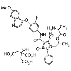 COc1ccc2c(Oc3ccc(NC(=O)c4c(C)n(C[C@@H](C)OC(=O)[C@H](C)N)n(-c5ccccc5)c4=O)cc3F)ccnc2c1.O=C(O)CC(O)(CC(=O)O)C(=O)O